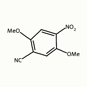 COc1cc([N+](=O)[O-])c(OC)cc1C#N